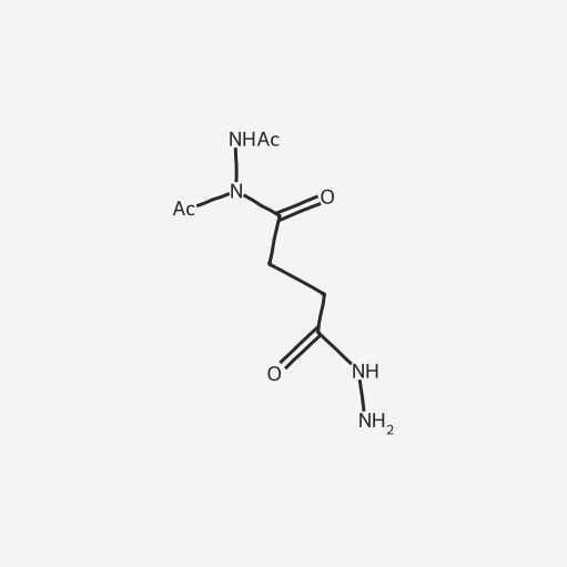 CC(=O)NN(C(C)=O)C(=O)CCC(=O)NN